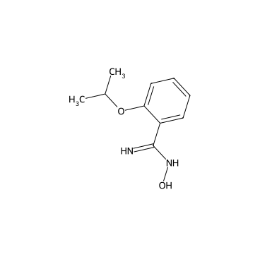 CC(C)Oc1ccccc1C(=N)NO